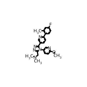 COc1ccc(-n2c(CN(C)C)nnc2-c2ccc(-c3ccc(F)cc3C)nc2)cn1